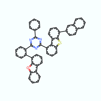 c1ccc(-c2nc(-c3ccccc3-c3cccc4c3oc3ccccc34)nc(-c3cccc4sc5c(-c6ccc7ccccc7c6)cccc5c34)n2)cc1